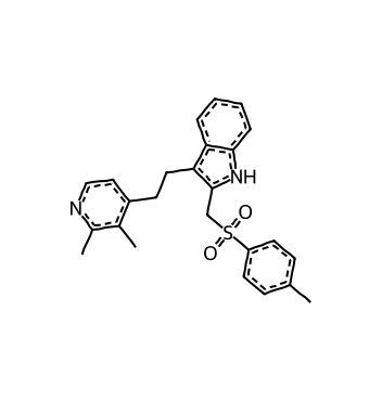 Cc1ccc(S(=O)(=O)Cc2[nH]c3ccccc3c2CCc2ccnc(C)c2C)cc1